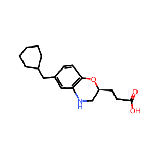 O=C(O)CC[C@H]1CNc2cc(CC3CCCCC3)ccc2O1